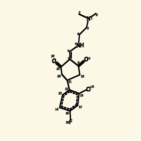 CN(C)CCNC=C1C(=O)CC(c2ccc(F)cc2Cl)CC1=O